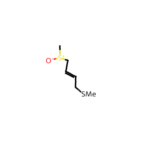 CSCC=CC[S+](C)[O-]